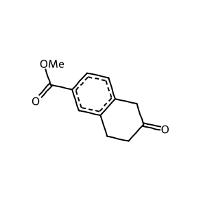 COC(=O)c1ccc2c(c1)CCC(=O)C2